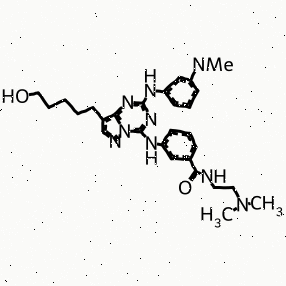 CNc1cccc(Nc2nc(Nc3cccc(C(=O)NCCN(C)C)c3)n3ncc(CCCCCO)c3n2)c1